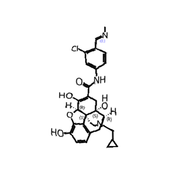 C/N=C/c1ccc(NC(=O)C2=C(O)[C@@H]3Oc4c(O)ccc5c4[C@@]34CCN(CC3CC3)[C@H](C5)[C@]4(O)C2)cc1Cl